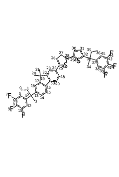 CCC(C)(c1cc(F)c(F)c(F)c1)c1ccc2c(c1)C(C)(C)c1cc(C3=CC[C@@H](c4ccc(C(C)(CC)c5cc(F)c(F)c(F)c5)s4)S3)ccc1-2